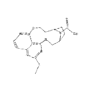 CSc1nc2c3c(nccc3n1)OCC1C3CCC(CN21)N3C(=O)O